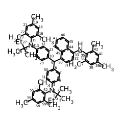 CCC(C)(C)N(c1ccc(C(c2ccc(N(c3c(C)cc(C)cc3C)C(C)(C)CC)cc2)c2ccc(Nc3c(C)cc(C)cc3C)c3ccccc23)cc1)c1c(C)cc(C)cc1C